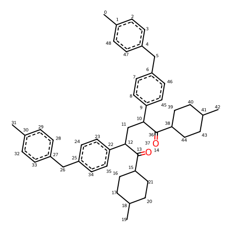 Cc1ccc(Cc2ccc(C(CC(C(=O)C3CCC(C)CC3)c3ccc(Cc4ccc(C)cc4)cc3)C(=O)C3CCC(C)CC3)cc2)cc1